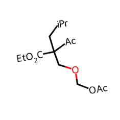 CCOC(=O)C(COCOC(C)=O)(CC(C)C)C(C)=O